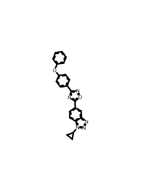 c1ccc(Oc2ccc(-c3noc(-c4ccc5c(c4)nnn5C4CC4)n3)cc2)cc1